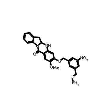 COc1cc2c(cc1OCc1cc(COP)cc([N+](=O)[O-])c1)NC1Cc3ccccc3N1C2=O